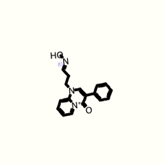 O=c1c(-c2ccccc2)cn(CC/C=N/O)c2cccc[n+]12